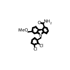 COCc1c[c]c2c3c(C(N)=O)cccc3n(Cc3cccc(Cl)c3Cl)c2c1